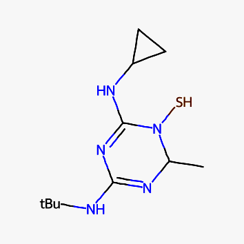 CC1N=C(NC(C)(C)C)N=C(NC2CC2)N1S